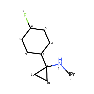 CC(C)NC1(C2CCC(F)CC2)CC1